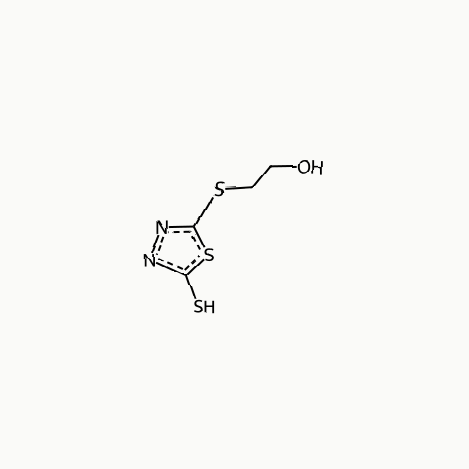 OCCSc1nnc(S)s1